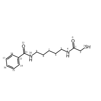 O=C(CS)NCCCCCNC(=O)c1ccccc1